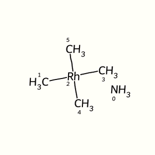 N.[CH3][Rh]([CH3])([CH3])[CH3]